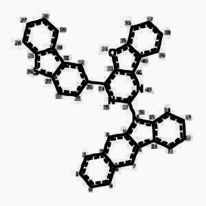 c1ccc2cc3c(cc2c1)c1ccccc1n3-c1nc(-c2ccc3sc4ccccc4c3c2)c2oc3ccccc3c2n1